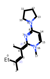 CC/C(C)=C\C(C)=C1\N=C(N2CCCC2)C=CN1C